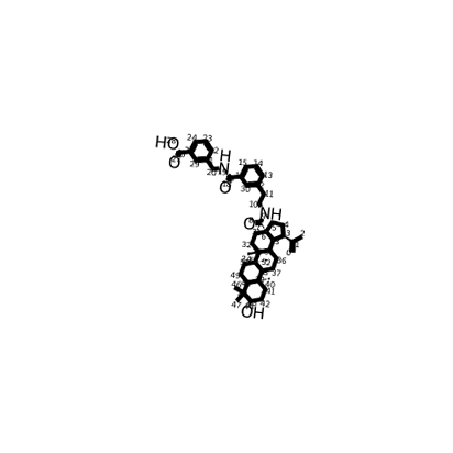 C=C(C)[C@@H]1CC[C@]2(C(=O)NCCc3cccc(C(=O)NCc4cccc(C(=O)O)c4)c3)CC[C@]3(C)C(CCC4[C@@]5(C)CC[C@H](O)C(C)(C)C5CC[C@]43C)C12